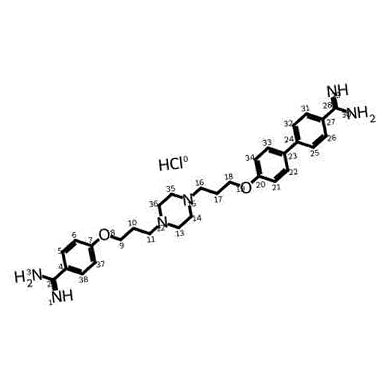 Cl.N=C(N)c1ccc(OCCCN2CCN(CCCOc3ccc(-c4ccc(C(=N)N)cc4)cc3)CC2)cc1